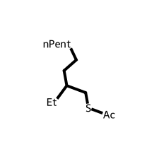 CCCCCCCC(CC)CSC(C)=O